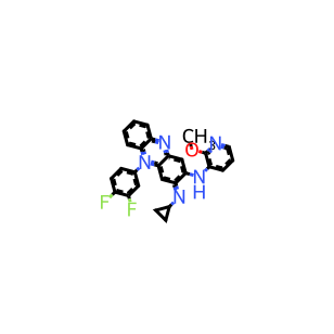 COc1ncccc1Nc1cc2nc3ccccc3n(-c3ccc(F)c(F)c3)c-2c/c1=N\C1CC1